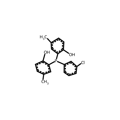 Cc1ccc(O)c(P(c2cccc(Cl)c2)c2cc(C)ccc2O)c1